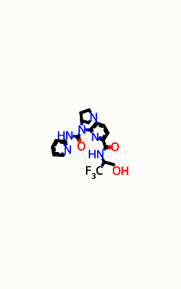 O=C(NC(CO)C(F)(F)F)c1ccc2c(n1)N(C(=O)Nc1ccccn1)C1CCN2C1